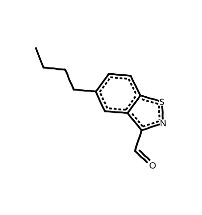 CCCCc1ccc2snc(C=O)c2c1